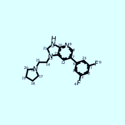 Fc1cc(F)cc(-c2cnc3c(c2)N(CCN2CCCC2)CN3)c1